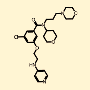 O=C(c1cc(Cl)cc(OCCNc2ccncc2)c1)N(CCCN1CCOCC1)C1CCOCC1